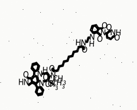 CO[C@@H]1[C@H](N(C)C(=O)CCCCCCCCCCC(=O)NCCNc2cccc3c2C(=O)N(C2CCC(=O)NC2=O)C3=O)C[C@H]2O[C@]1(C)n1c3ccccc3c3c4c(c5c6ccccc6n2c5c31)C(=O)NC4